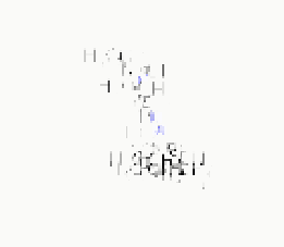 C=C1/C(=C\C=C2/CCC[C@]3(C)[C@@H]([C@H](C)/C=C/[C@H](O)C4(C5=NCC(C)O5)CC4)CC[C@@H]23)C[C@@H](O[Si](C)(C)C(C)(C)C)C[C@@H]1O[Si](C)(C)C(C)(C)C